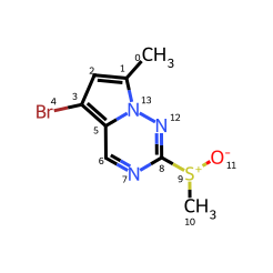 Cc1cc(Br)c2cnc([S+](C)[O-])nn12